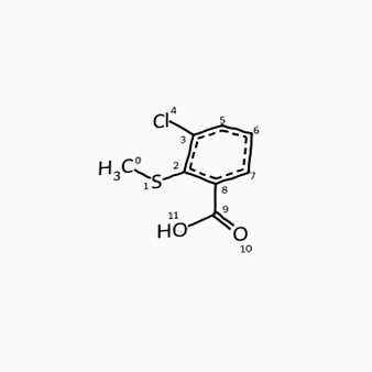 CSc1c(Cl)cccc1C(=O)O